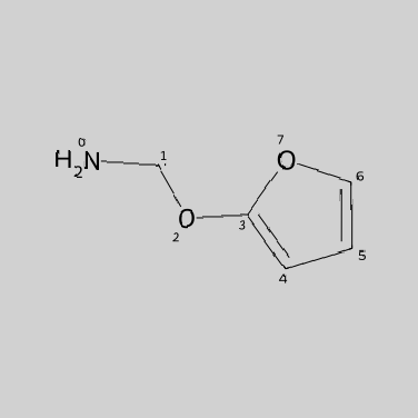 N[CH]Oc1ccco1